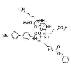 CCCCc1ccc(-c2ccc(C(=O)N[C@@H](CCCCNC(=O)OCc3ccccc3)C(=O)N[C@@H](CCCC(=O)O)C(=O)N[C@@H](C)C(=O)N[C@@H](CCCCN)C(=O)OC)cc2)cc1